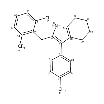 Cc1ccc(-c2c(Cc3c(Cl)cccc3C(F)(F)F)[nH]c3c2CCCC3)cc1